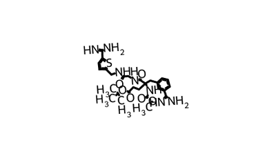 COC(=O)NC(CCC(=O)OC(C)(C)C)(Cc1cccc(C(=N)N)c1)C(=O)NCC(=O)NCc1ccc(C(=N)N)s1